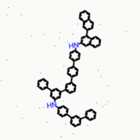 c1ccc(-c2cccc(-c3ccc(Nc4cc(-c5ccccc5)cc(-c5cccc(-c6ccc(-c7ccc(Nc8cc(-c9ccc%10ccccc%10c9)c9ccccc9c8)cc7)cc6)c5)c4)cc3)c2)cc1